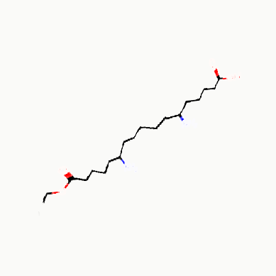 CCOC(=O)CCCCC(N)CCCCCC(N)CCCCC(=O)O